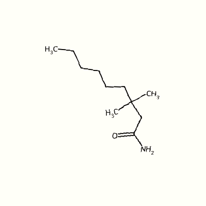 CCCCCCC(C)(C)CC(N)=O